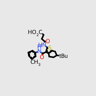 Cc1cccc(NC(=O)c2c(NC(=O)CCC(=O)O)sc3c2CCC(C(C)(C)C)C3)c1